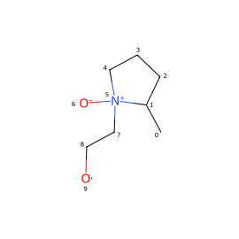 CC1CCC[N+]1([O-])CC[O]